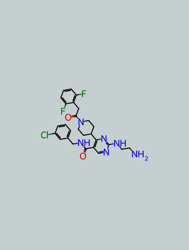 NCCNc1ncc(C(=O)NCc2cccc(Cl)c2)c(C2CCN(C(=O)Cc3c(F)cccc3F)CC2)n1